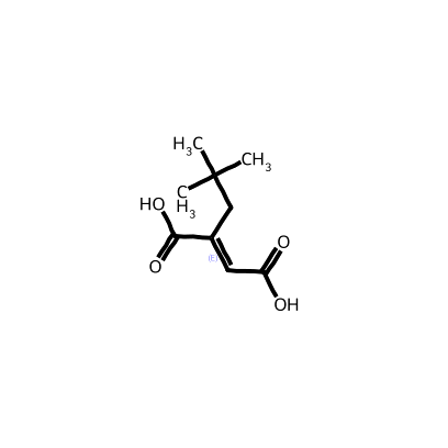 CC(C)(C)C/C(=C\C(=O)O)C(=O)O